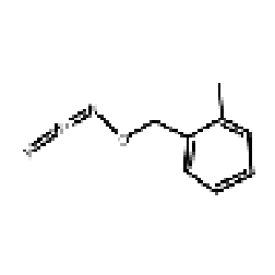 Cc1ccccc1CON=[N+]=[N-]